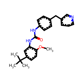 COc1ccc(C(C)(C)C)cc1NC(=O)Nc1ccc(Cc2cccnc2)cc1